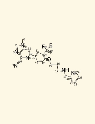 Cn1cnc2c(C#N)nc(-c3ccc(OCCCNCc4ccccn4)c(C(F)(F)F)c3)cc21